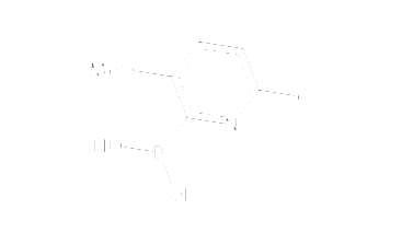 COc1ccc(Cl)nc1B(O)O